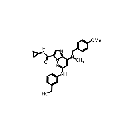 COc1ccc(CN(C)c2cc(Nc3cccc(CO)c3)nn3c(C(=O)NC4CC4)cnc23)cc1